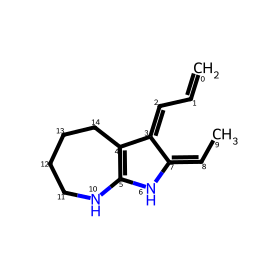 C=C/C=c1/c2c([nH]/c1=C/C)NCCCC2